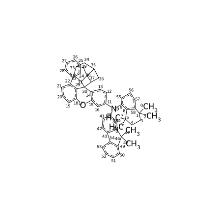 CC1(C)CCC(C)(C)c2c(N(c3ccc4c(c3)Oc3cccc(-c5ccccc5)c3C43C4CC5CC6CC3C64C5)c3ccc4c(c3)C(C)(C)c3ccccc3-4)cccc21